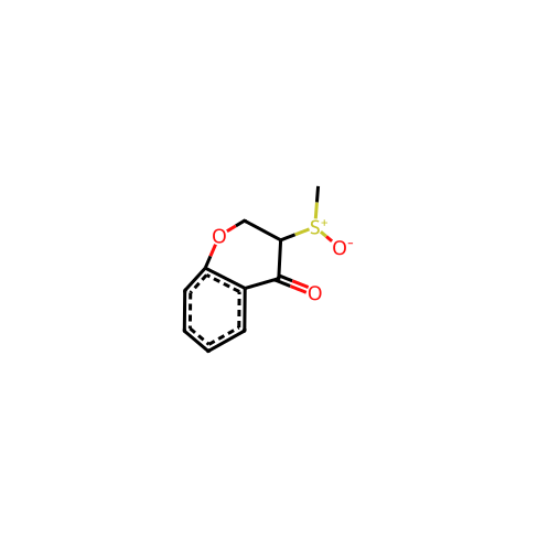 C[S+]([O-])C1COc2ccccc2C1=O